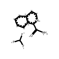 FC(F)F.NC(=O)c1nccc2ccccc12